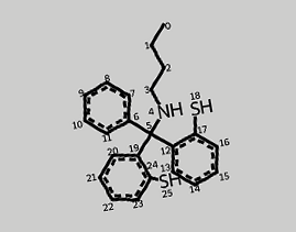 CCCCNC(c1ccccc1)(c1ccccc1S)c1ccccc1S